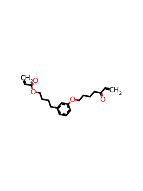 C=CC(=O)CCCCOc1cccc(CCCCOC(=O)C=C)c1